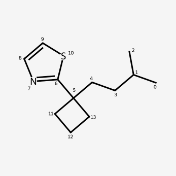 CC(C)CCC1(c2nccs2)CCC1